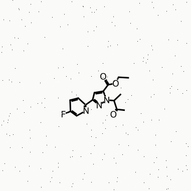 CCOC(=O)c1cc(-c2ccc(F)cn2)nn1C(C)C(C)=O